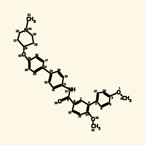 COc1ccc(-c2cc(C(=O)Nc3ccc(-c4ccc(OC5CCN(C)CC5)cc4)cc3)ccc2OC)cc1